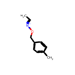 C/C=N/OCc1ccc(C)cc1